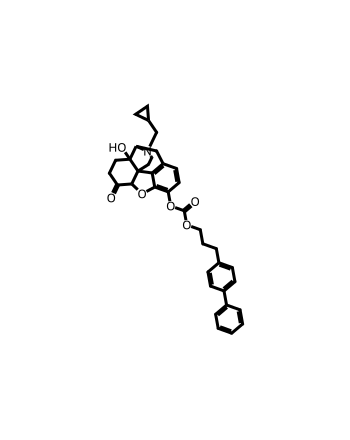 O=C(OCCCc1ccc(-c2ccccc2)cc1)Oc1ccc2c3c1OC1C(=O)CCC4(O)C(C2)N(CC2CC2)CCC314